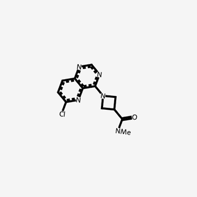 CNC(=O)C1CN(c2ncnc3ccc(Cl)nc23)C1